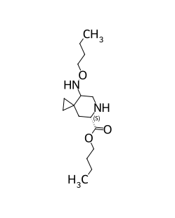 CCCCONC1CN[C@H](C(=O)OCCCC)CC12CC2